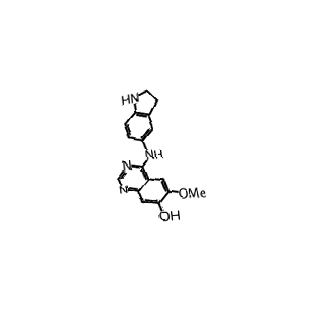 COc1cc2c(Nc3ccc4c(c3)CCN4)ncnc2cc1O